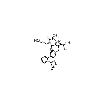 C=C(CC)c1nc2c(c(=O)n(CCCO)c(=O)n2C)n1Cc1ccc(-c2ccccc2-c2nnn[nH]2)cc1